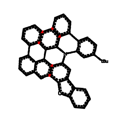 CC(C)(C)c1ccc(-c2ccccc2)c(N(c2ccc3oc4ccccc4c3c2)c2ccccc2-c2cccc3cccc(-c4ccccc4)c23)c1